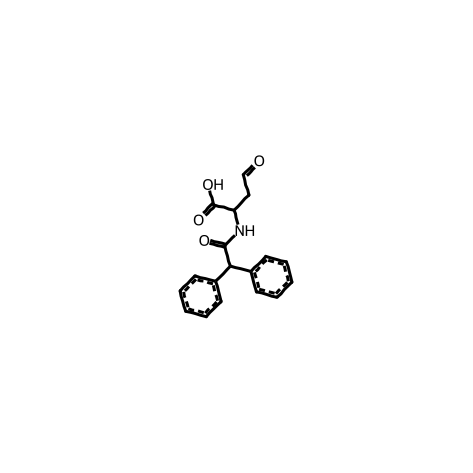 O=CCC(NC(=O)C(c1ccccc1)c1ccccc1)C(=O)O